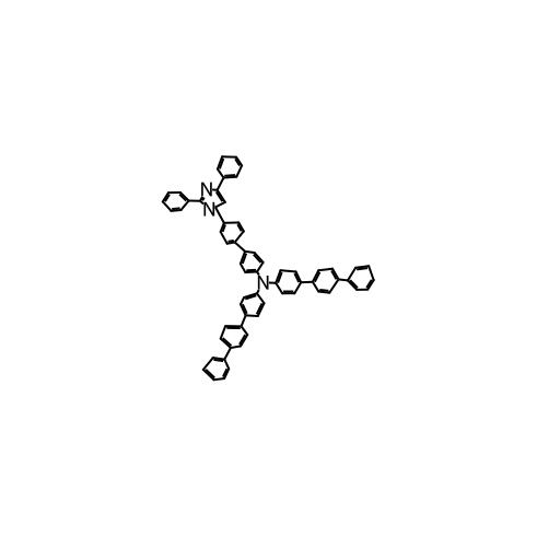 c1ccc(-c2ccc(-c3ccc(N(c4ccc(-c5ccc(-c6ccccc6)cc5)cc4)c4ccc(-c5ccc(-c6cc(-c7ccccc7)nc(-c7ccccc7)n6)cc5)cc4)cc3)cc2)cc1